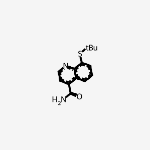 CC(C)(C)Sc1cccc2c(C(N)=O)ccnc12